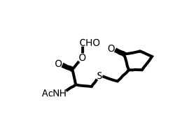 CC(=O)NC(CSCC1CCCC1=O)C(=O)OC=O